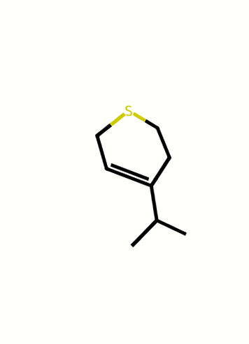 CC(C)C1=CCSCC1